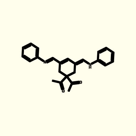 CC(=O)C1(C(C)=O)CC(/C=N/c2ccccc2)=CC(=C/Nc2ccccc2)/C1